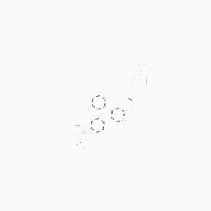 CC(=O)N(C)[C@H]1CC[C@H](CC(=O)Nc2cc(-c3ccccc3)c(-c3ccc([C@]4(NC(=O)O)C[C@](C)(O)C4)c(F)c3)cn2)CC1